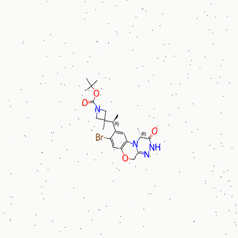 C[C@@H]1C(=O)NN=C2COc3cc(Br)c([C@H](C)C4(C)CN(C(=O)OC(C)(C)C)C4)cc3N21